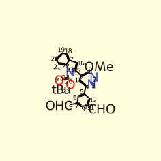 COc1nnc(-c2cc(C=O)cc(C=O)c2)cc1-c1cc2ccccc2n1C(=O)OC(C)(C)C